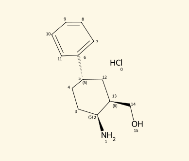 Cl.N[C@H]1CC[C@H](c2ccccc2)C[C@H]1CO